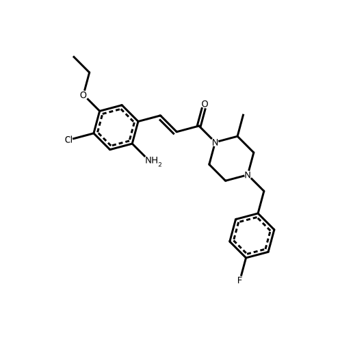 CCOc1cc(C=CC(=O)N2CCN(Cc3ccc(F)cc3)CC2C)c(N)cc1Cl